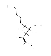 CCCCCC(C)(C)C(C)(O[SiH3])C(C)(C)C(C)=C(C)O[SiH3]